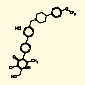 Cc1[nH]c(CO)c(Cl)c(=O)c1-c1ccc(-c2ccc(CN3CCC(c4ccc(OC(F)(F)F)cc4)CC3)cc2)cc1.Cl